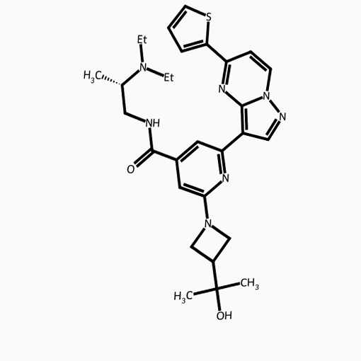 CCN(CC)[C@@H](C)CNC(=O)c1cc(-c2cnn3ccc(-c4cccs4)nc23)nc(N2CC(C(C)(C)O)C2)c1